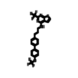 FC(F)(F)Oc1ccc(-c2ccc(CCCNc3nc(C(F)(F)F)nc4sccc34)cc2)cc1